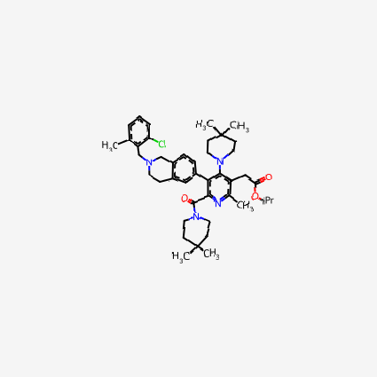 Cc1cccc(Cl)c1CN1CCc2cc(-c3c(C(=O)N4CCC(C)(C)CC4)nc(C)c(CC(=O)OC(C)C)c3N3CCC(C)(C)CC3)ccc2C1